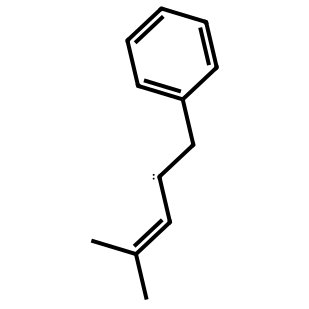 CC(C)=C[C]Cc1ccccc1